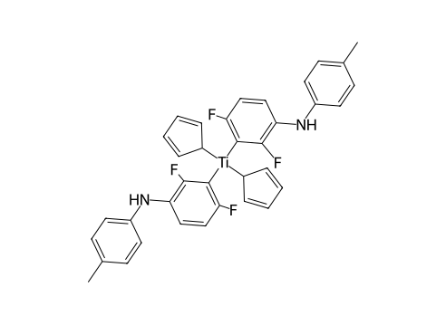 Cc1ccc(Nc2ccc(F)[c]([Ti]([c]3c(F)ccc(Nc4ccc(C)cc4)c3F)([CH]3C=CC=C3)[CH]3C=CC=C3)c2F)cc1